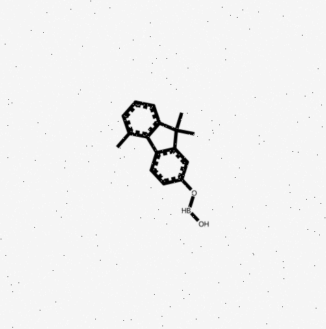 Cc1cccc2c1-c1ccc(OBO)cc1C2(C)C